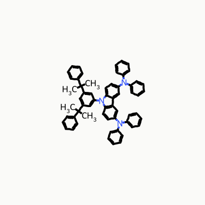 CC(C)(c1ccccc1)c1cc(-n2c3ccc(N(c4ccccc4)c4ccccc4)cc3c3cc(N(c4ccccc4)c4ccccc4)ccc32)cc(C(C)(C)c2ccccc2)c1